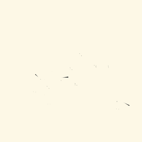 CC1OC(=O)N2C[C@H](c3nc(-c4ccc([C@@](C)(O)c5cccc(C(F)(F)F)c5)cc4)c4c(N)nccn34)OC[C@@H]12